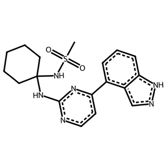 CS(=O)(=O)NC1(Nc2nccc(-c3cccc4[nH]ncc34)n2)CCCCC1